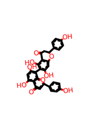 O=C1CC(c2ccc(O)cc2)Oc2cc(O)c(-c3c(O)cc(O)c4c(=O)cc(-c5ccc(O)cc5)oc34)c(O)c21